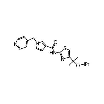 CC(C)OC(C)(C)c1csc(NC(=O)c2ccn(Cc3ccncc3)c2)n1